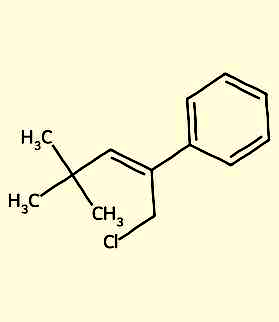 CC(C)(C)C=C(CCl)c1ccccc1